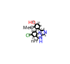 CCC[C@H](Nc1cncc(-c2ccc(O)c(OC)c2)n1)c1cccc(Cl)c1